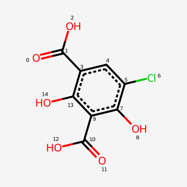 O=C(O)c1cc(Cl)c(O)c(C(=O)O)c1O